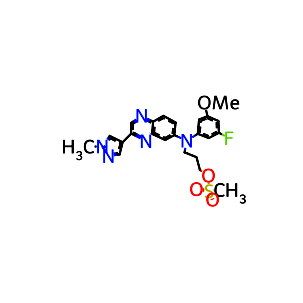 COc1cc(F)cc(N(CCCOS(C)(=O)=O)c2ccc3ncc(-c4cnn(C)c4)nc3c2)c1